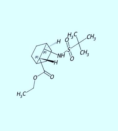 CCOC(=O)[C@@H]1C2CCC(CC2)[C@H]1NS(=O)(=O)C(C)(C)C